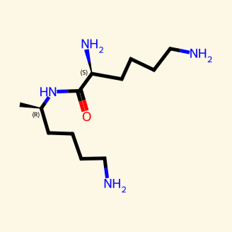 C[C@H](CCCCN)NC(=O)[C@@H](N)CCCCN